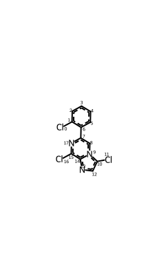 Clc1ccccc1-c1cn2c(Cl)cnc2c(Cl)n1